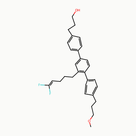 COCCCc1ccc(-c2ccc(-c3ccc(CCCO)cc3)cc2CCCC=C(F)F)cc1